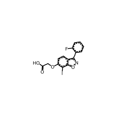 O=C(O)COc1ccc2c(-c3ccccc3F)noc2c1I